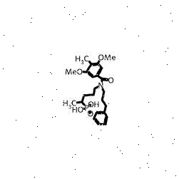 COc1cc(C(=O)N(CCCc2ccccc2)CCCC(C)P(=O)(O)O)cc(OC)c1C